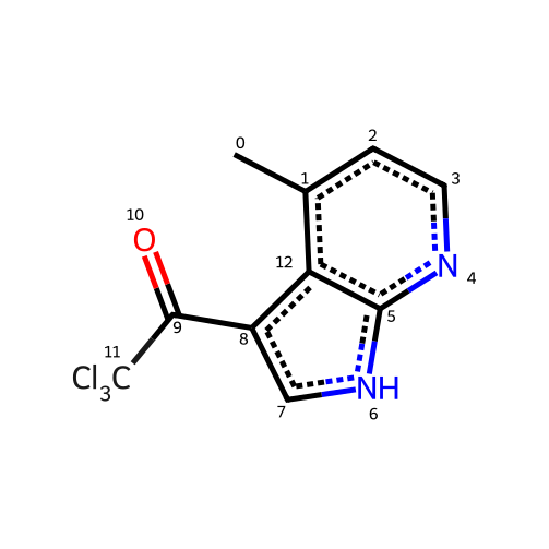 Cc1ccnc2[nH]cc(C(=O)C(Cl)(Cl)Cl)c12